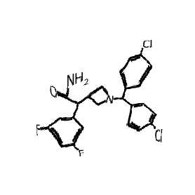 NC(=O)C(c1cc(F)cc(F)c1)C1CN(C(c2ccc(Cl)cc2)c2ccc(Cl)cc2)C1